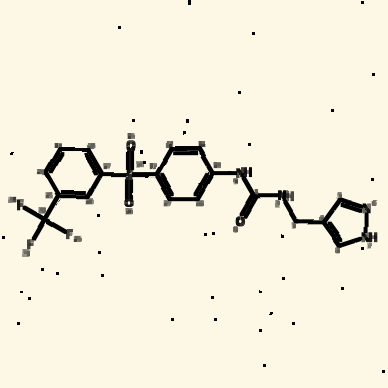 O=C(NCc1cn[nH]c1)Nc1ccc(S(=O)(=O)c2cccc(C(F)(F)F)c2)cc1